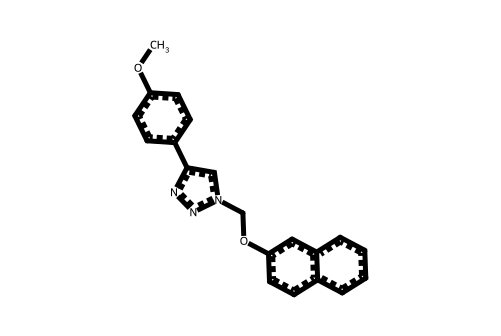 COc1ccc(-c2cn(COc3ccc4ccccc4c3)nn2)cc1